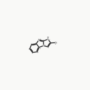 CCc1cn2c(nc3ccccc32)[nH]1